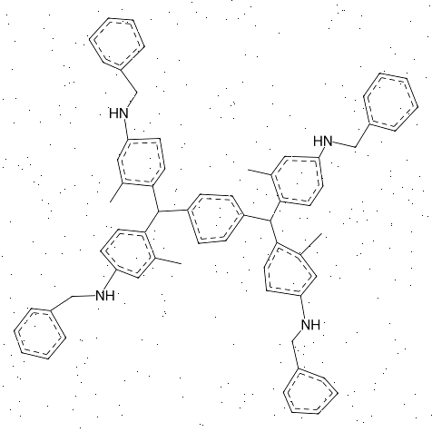 Cc1cc(NCc2ccccc2)ccc1C(c1ccc(C(c2ccc(NCc3ccccc3)cc2C)c2ccc(NCc3ccccc3)cc2C)cc1)c1ccc(NCc2ccccc2)cc1C